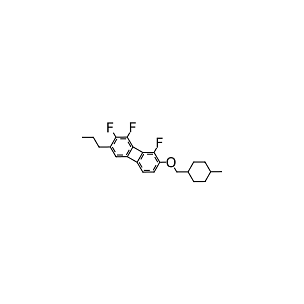 CCCc1cc2c(c(F)c1F)-c1c-2ccc(OCC2CCC(C)CC2)c1F